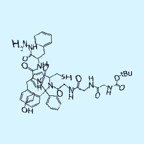 CC(C)(C)OC(=O)NCC(=O)NCC(=O)NCC(=O)N(C(CS)C(=O)NC(Cc1ccc(O)cc1)C(=O)NC(Cc1ccccc1)C(=O)NN)C(c1ccccc1)(c1ccccc1)c1ccccc1